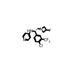 FC1CN(C[C@@H](Nc2ccncc2)c2ccc(Cl)c(C(F)(F)F)c2)C1